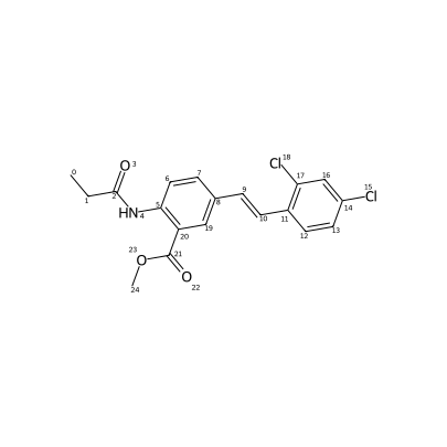 CCC(=O)Nc1ccc(C=Cc2ccc(Cl)cc2Cl)cc1C(=O)OC